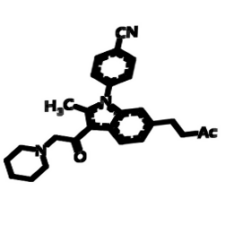 CC(=O)CCc1ccc2c(C(=O)CN3CCCCC3)c(C)n(-c3ccc(C#N)cc3)c2c1